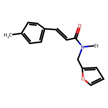 CCN(Cc1ccco1)C(=O)C=Cc1ccc(C)cc1